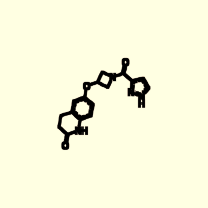 O=C1CCc2cc(OC3CN(C(=O)c4cc[nH]n4)C3)ccc2N1